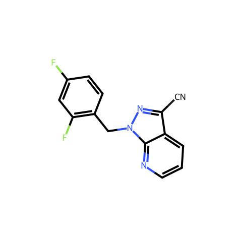 N#Cc1nn(Cc2ccc(F)cc2F)c2ncccc12